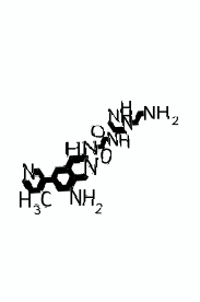 Cc1ccncc1-c1cc(N)c2cnc(NC(=O)C(=O)N/C(C=N)=C/NCCN)cc2c1